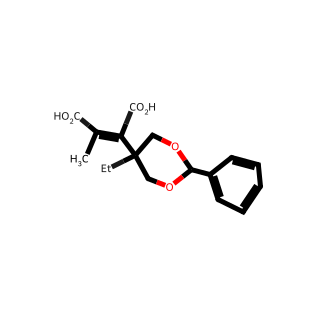 CCC1(C(C(=O)O)=C(C)C(=O)O)COC(c2ccccc2)OC1